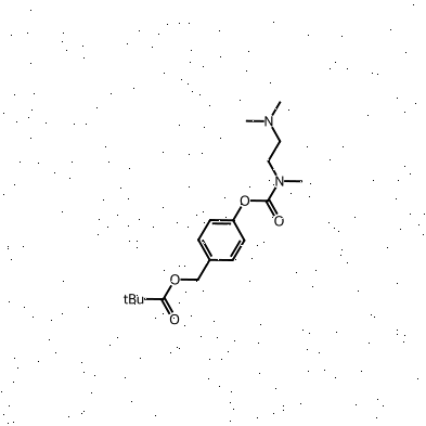 CN(C)CCN(C)C(=O)Oc1ccc(COC(=O)C(C)(C)C)cc1